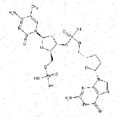 Cc1cn([C@H]2C[C@@H](OP(=O)(S)OC[C@@H]3CC[C@H](n4cnc5c(=O)[nH]c(N)nc54)O3)[C@@H](COP(=O)(O)S)O2)c(=O)nc1N